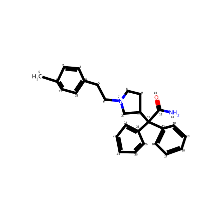 Cc1ccc(CCN2CCC(C(C(N)=O)(c3ccccc3)c3ccccc3)C2)cc1